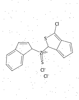 [Cl-].[Cl-].[S]=[Zr+2]([CH]1SC(Cl)=C2C=CC=C21)[CH]1C=Cc2ccccc21